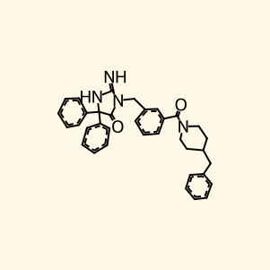 N=C1NC(c2ccccc2)(c2ccccc2)C(=O)N1Cc1cccc(C(=O)N2CCC(Cc3ccccc3)CC2)c1